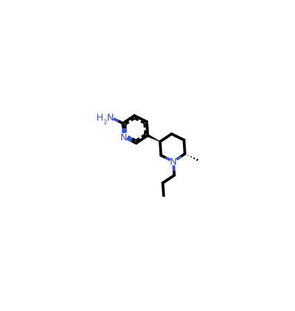 CCCN1C[C@@H](c2ccc(N)nc2)CC[C@@H]1C